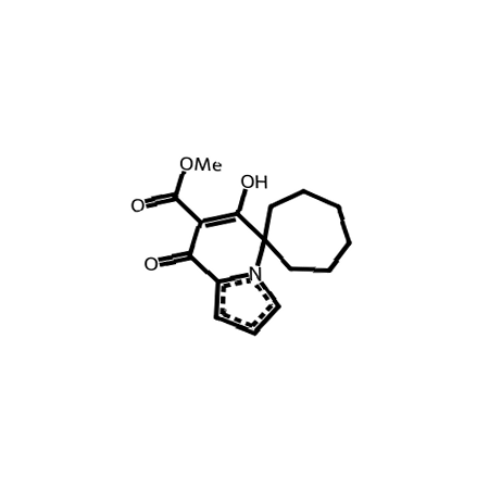 COC(=O)C1=C(O)C2(CCCCCC2)n2cccc2C1=O